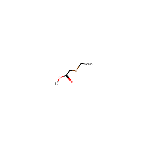 CCOC(=O)CSC[C]=O